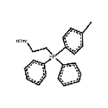 CCCCCCCCCCCC[PH](c1ccccc1)(c1ccccc1)c1ccc(C)cc1